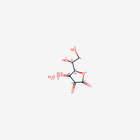 O.O.O=C1O[C@H]([C@@H](O)CO)C(=O)C1=O